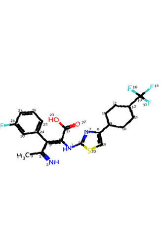 CC(=N)/C(=C(\Nc1nc(C2CCC(C(F)(F)F)CC2)cs1)C(=O)O)c1cccc(F)c1